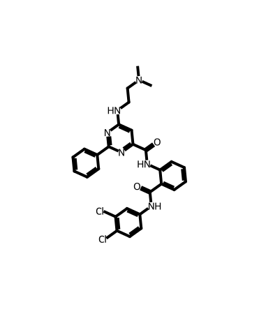 CN(C)CCNc1cc(C(=O)Nc2ccccc2C(=O)Nc2ccc(Cl)c(Cl)c2)nc(-c2ccccc2)n1